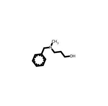 CN(CCCO)Cc1ccccc1